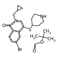 CC(C)(C)OC=O.O=c1c2ccc(Br)cc2c(SC2CCNCC2)cn1CC1CC1